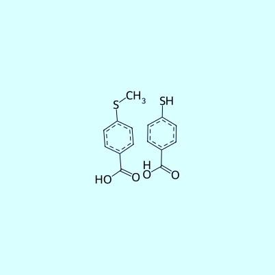 CSc1ccc(C(=O)O)cc1.O=C(O)c1ccc(S)cc1